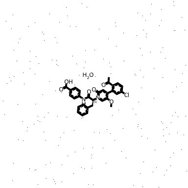 COc1cn([C@@H](Cc2ccccc2)C(=O)Nc2ccc(C(=O)O)cc2)c(=O)cc1-c1cc(Cl)ccc1C(C)=O.O